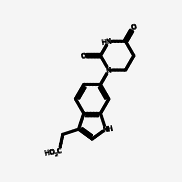 O=C(O)Cc1c[nH]c2cc(N3CCC(=O)NC3=O)ccc12